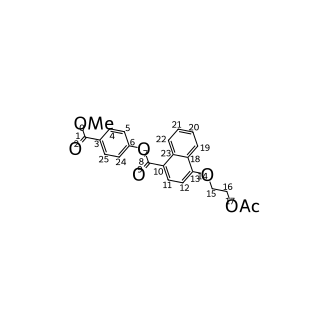 COC(=O)c1ccc(OC(=O)c2ccc(OCCOC(C)=O)c3ccccc23)cc1